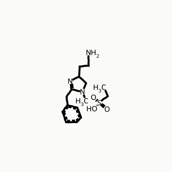 CCS(=O)(=O)O.CN1CC(CCN)N=C1Cc1ccccc1